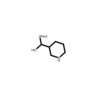 CCCCCC(O)C1CCCNC1